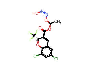 CC(O/N=N\O)OC(=O)C1=Cc2cc(Cl)cc(Cl)c2O[C@@H]1C(F)(F)F